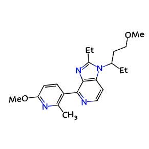 CCc1nc2c(-c3ccc(OC)nc3C)nccc2n1C(CC)CCOC